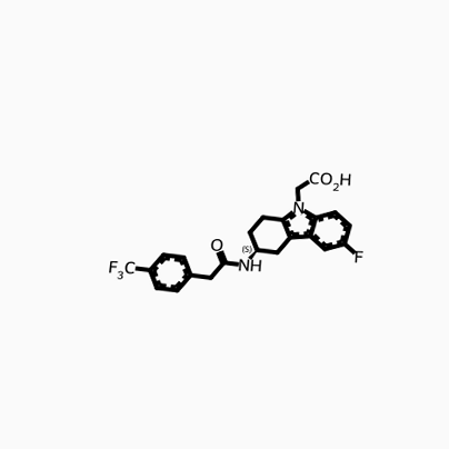 O=C(O)Cn1c2c(c3cc(F)ccc31)C[C@@H](NC(=O)Cc1ccc(C(F)(F)F)cc1)CC2